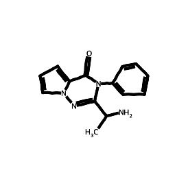 CC(N)c1nn2cccc2c(=O)n1-c1ccccc1